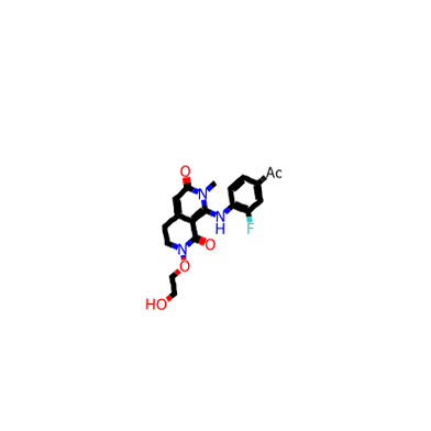 CC(=O)c1ccc(Nc2c3c(cc(=O)n2C)CCN(OCCO)C3=O)c(F)c1